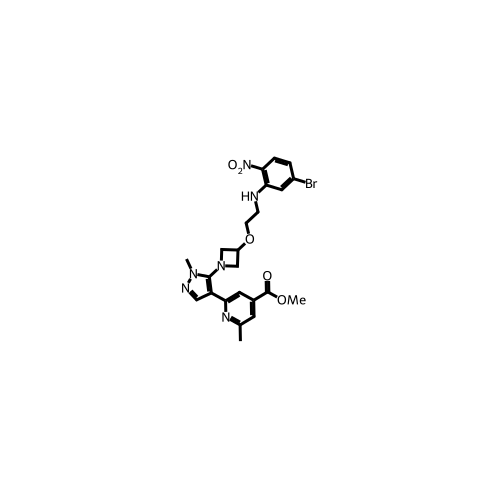 COC(=O)c1cc(C)nc(-c2cnn(C)c2N2CC(OCCNc3cc(Br)ccc3[N+](=O)[O-])C2)c1